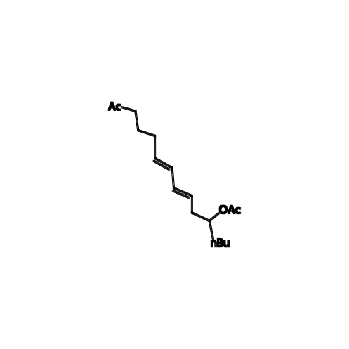 CCCCC(CC=CC=CCCCC(C)=O)OC(C)=O